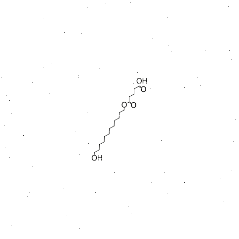 O=C(O)CCCC(=O)OCCCCCCCCCCCCO